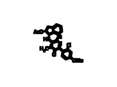 CCc1nc(-c2ccc(OC)cc2Cl)c(=O)n(C)c1N[C@@H]1c2ccccc2C[C@@H]1OC(C)=O